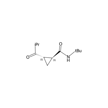 CC(C)C(=O)[C@H]1C[C@@H]1C(=O)NC(C)(C)C